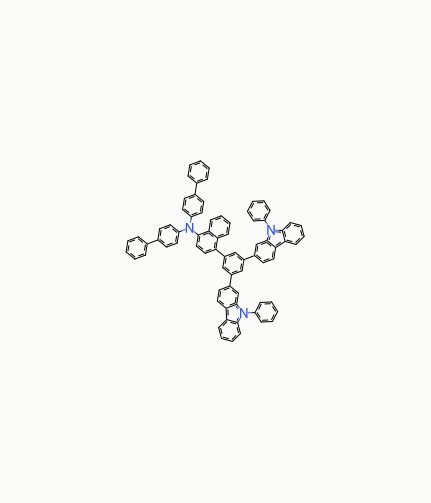 c1ccc(-c2ccc(N(c3ccc(-c4ccccc4)cc3)c3ccc(-c4cc(-c5ccc6c7ccccc7n(-c7ccccc7)c6c5)cc(-c5ccc6c7ccccc7n(-c7ccccc7)c6c5)c4)c4ccccc34)cc2)cc1